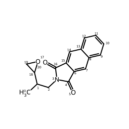 CC(CN1C(=O)c2cc3ccccc3cc2C1=O)C1CO1